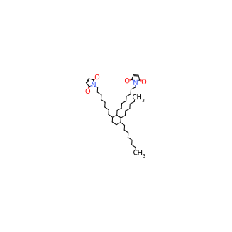 CCCCCCCCC1CCC(CCCCCCCCN2C(=O)C=CC2=O)C(CCCCCCCCN2C(=O)C=CC2=O)C1CCCCCC